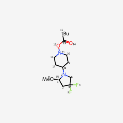 CO[C@@H]1CC(F)(F)CN1C1CCN(OC(=O)C(C)(C)C)CC1